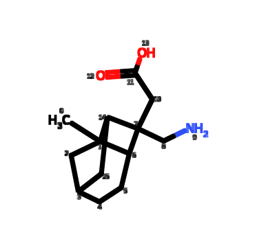 CC12CC3CCC1C(CN)(CC(=O)O)C2C3